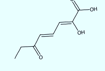 CCC(=O)/C=C/C=C(\O)C(=O)O